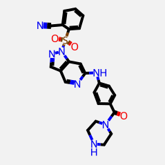 N#Cc1ccccc1S(=O)(=O)n1ncc2cnc(Nc3ccc(C(=O)N4CCNCC4)cc3)cc21